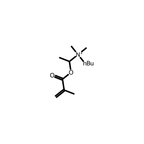 C=C(C)C(=O)OC(C)[N+](C)(C)CCCC